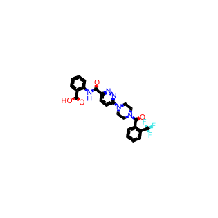 O=C(Nc1ccccc1C(=O)O)c1ccc(N2CCN(C(=O)c3ccccc3C(F)(F)F)CC2)nn1